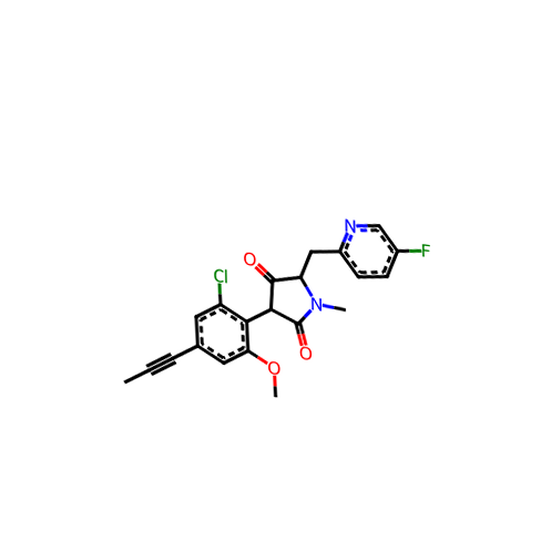 CC#Cc1cc(Cl)c(C2C(=O)C(Cc3ccc(F)cn3)N(C)C2=O)c(OC)c1